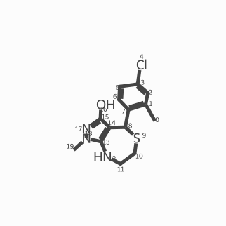 Cc1cc(Cl)ccc1C1SCCNc2c1c(O)nn2C